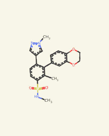 CNS(=O)(=O)c1ccc(-c2cnn(C)c2)c(-c2ccc3c(c2)OCCO3)c1C